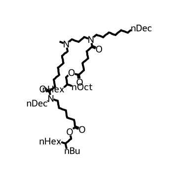 CCCCCCCCCCCCCCCCN(CCCN(C)CCCCCCCC(=O)N(CCCCCCCCCC)CCCCCC(=O)OCC(CCCC)CCCCCC)C(=O)CCCCC(=O)OCC(CCCCCC)CCCCCCCC